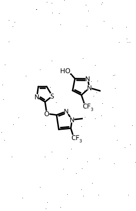 Cn1nc(O)cc1C(F)(F)F.Cn1nc(Oc2nccs2)cc1C(F)(F)F